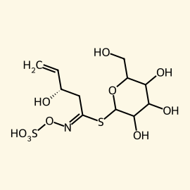 C=C[C@@H](O)C/C(=N\OS(=O)(=O)O)SC1OC(CO)C(O)C(O)C1O